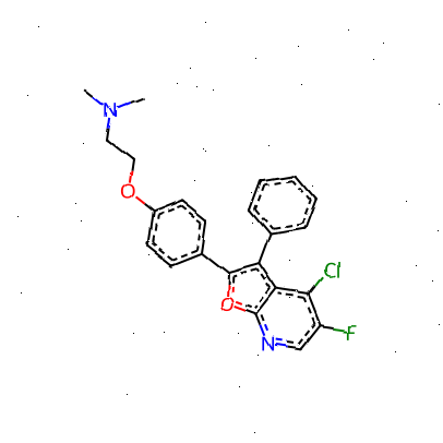 CN(C)CCOc1ccc(-c2oc3ncc(F)c(Cl)c3c2-c2ccccc2)cc1